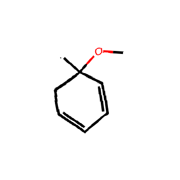 [CH2]C1(OC)C=CC=CC1